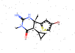 CN1C(=N)N[C@](C)(c2cc(Br)cs2)[C@@H](C2CC2)C1=O